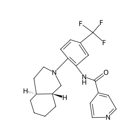 O=C(Nc1cc(C(F)(F)F)ccc1N1CC[C@@H]2CCCC[C@H]2C1)c1ccncc1